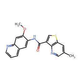 COc1cc2ncccc2cc1NC(=O)c1csc2cc(C)cnc12